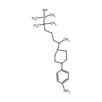 CN(CCCC(C)(C)[Si](C)(C)O)C1CCN(c2ccc([N+](=O)[O-])cc2)CC1